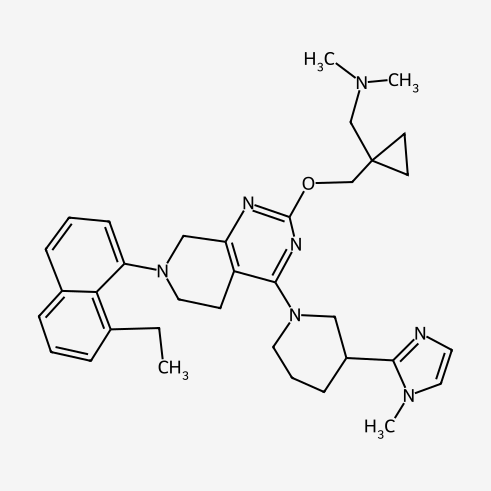 CCc1cccc2cccc(N3CCc4c(nc(OCC5(CN(C)C)CC5)nc4N4CCCC(c5nccn5C)C4)C3)c12